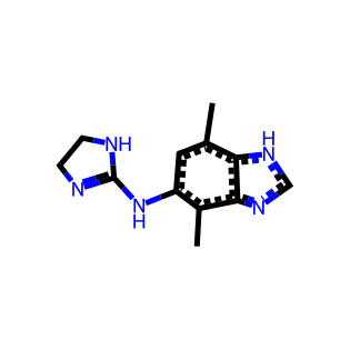 Cc1c(NC2=NCCN2)cc(C)c2[nH]cnc12